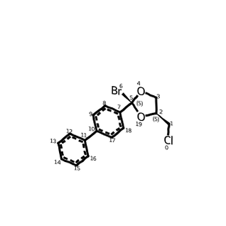 ClC[C@@H]1CO[C@@](Br)(c2ccc(-c3ccccc3)cc2)O1